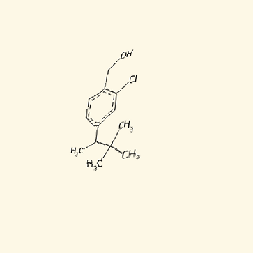 CC(c1ccc(CO)c(Cl)c1)C(C)(C)C